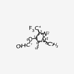 Cn1nc(C(F)(F)F)c(OC=O)c1F